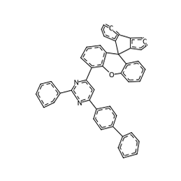 c1ccc(-c2ccc(-c3cc(-c4cccc5c4Oc4ccccc4C54c5ccccc5-c5ccccc54)nc(-c4ccccc4)n3)cc2)cc1